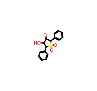 O=C1C(O)C(c2ccccc2)S(=O)(=O)C1c1ccccc1